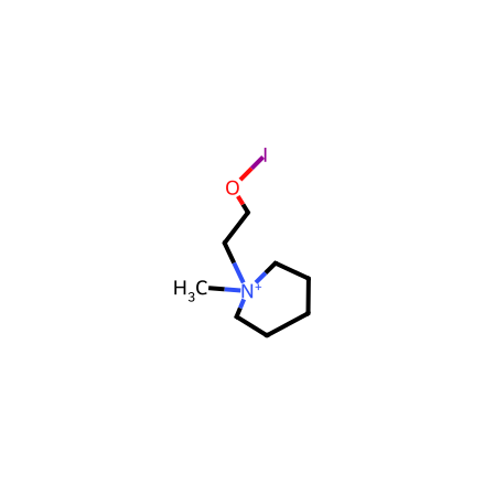 C[N+]1(CCOI)CCCCC1